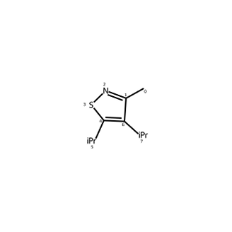 Cc1nsc(C(C)C)c1C(C)C